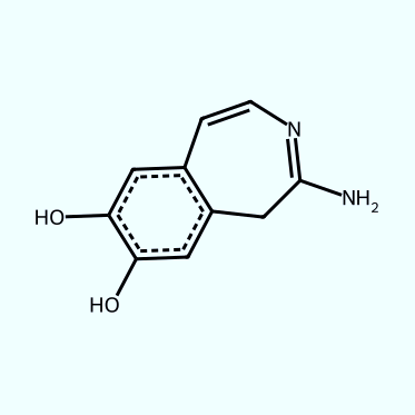 NC1=NC=Cc2cc(O)c(O)cc2C1